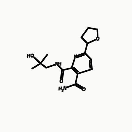 CC(C)(O)CNC(=O)c1nc(C2CCCO2)ccc1C(N)=O